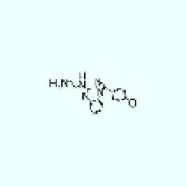 COc1ccc(-c2cnc3c(NCCN)nc4ccccc4n23)cc1